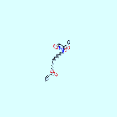 CCC(=O)OCCCCCCCCCCCCCn1c(=O)ccc2cc(-c3ccccc3)c(=O)oc21